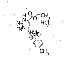 CCOC(=O)c1c/c(=N\NS(=O)(=O)c2ccc(C)cc2)n2ncnc2[nH]1.Cl